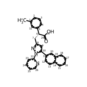 Cc1cccc([C@@H](Cc2cc(-c3ccc4ccccc4c3)n(-c3ccccn3)n2)C(=O)O)c1